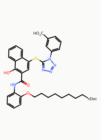 CCCCCCCCCCCCCCCCCCOc1ccccc1NC(=O)c1cc(Sc2nnnn2-c2cccc(C(=O)O)c2)c2ccccc2c1O